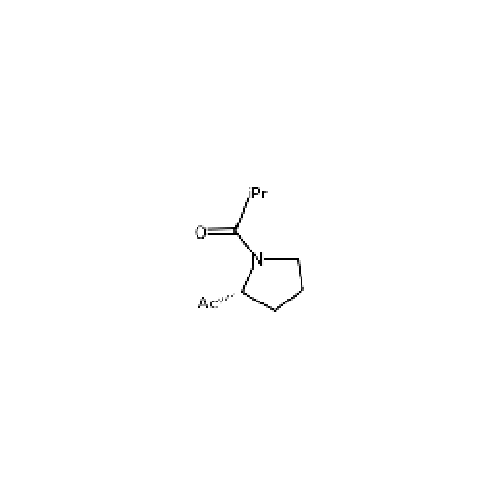 CC(=O)[C@H]1CCCN1C(=O)C(C)C